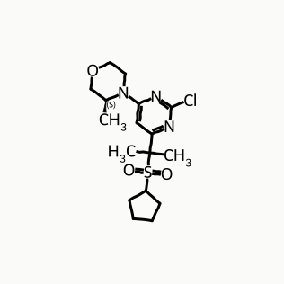 C[C@H]1COCCN1c1cc(C(C)(C)S(=O)(=O)C2CCCC2)nc(Cl)n1